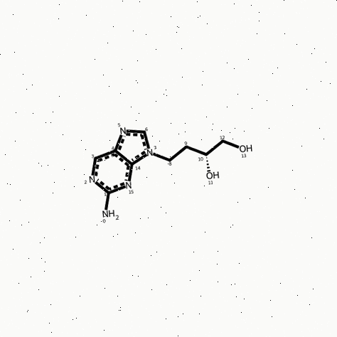 Nc1ncc2ncn(CC[C@@H](O)CO)c2n1